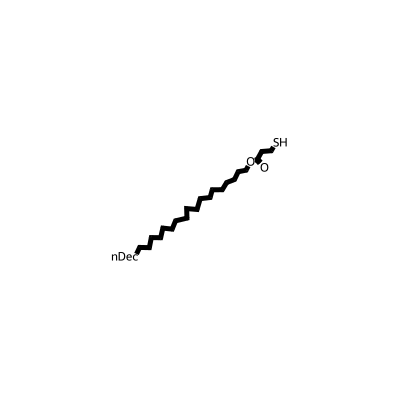 CCCCCCCCCCCCCCCCCCCCCCCCCCCCOC(=O)CCS